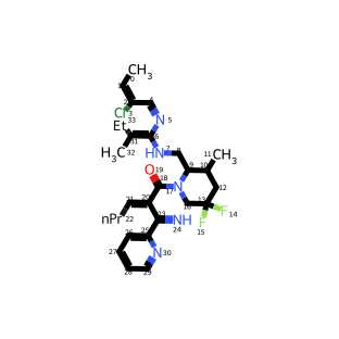 C\C=C(Cl)/C=N\C(NCC1C(C)CC(F)(F)CN1C(=O)/C(=C/CCC)C(=N)c1ccccn1)=C(\C)CC